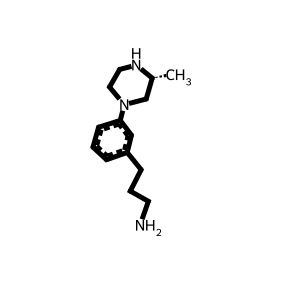 C[C@@H]1CN(c2cccc(CCCN)c2)CCN1